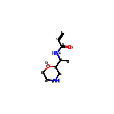 C=CC(=O)NC(C)C1CNCCO1